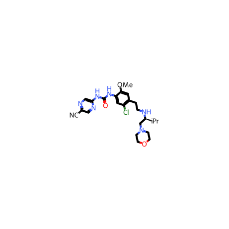 COc1cc(CCN[C@H](CN2CCOCC2)C(C)C)c(Cl)cc1NC(=O)Nc1cnc(C#N)cn1